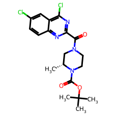 C[C@@H]1CN(C(=O)c2nc(Cl)c3cc(Cl)ccc3n2)CCN1C(=O)OC(C)(C)C